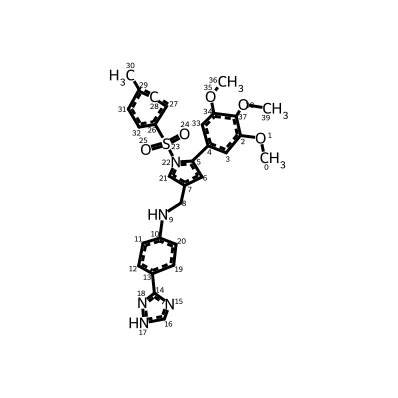 COc1cc(-c2cc(CNc3ccc(-c4nc[nH]n4)cc3)cn2S(=O)(=O)c2ccc(C)cc2)cc(OC)c1OC